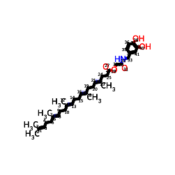 CC(C)=CCC/C(C)=C/CC/C(C)=C/CC/C=C(\C)CC/C=C(\C)CCC(=O)OCC(=O)NCc1ccc(O)c(O)c1